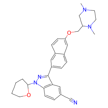 CN1CCN(C)C(COc2ccc3cc(-c4nn(C5CCCCO5)c5ccc(C#N)cc45)ccc3c2)C1